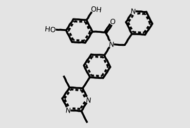 Cc1ncc(C)c(-c2ccc(N(Cc3cccnc3)C(=O)c3ccc(O)cc3O)cc2)n1